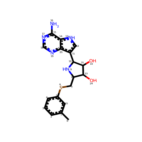 Cc1cccc(SCC2NC(c3c[nH]c4c(N)ncnc34)C(O)C2O)c1